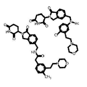 CC(=O)N(Cc1ccc2c(c1)CN(C1CCC(=O)NC1=O)C2=O)c1ccc(Cl)c(CCN2CCOCC2)c1.Cc1ccc(CC(=O)NCc2ccc3c(c2)CN(C2CCC(=O)NC2=O)C3=O)cc1CCN1CCOCC1